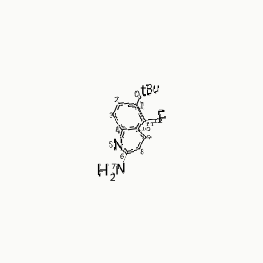 CC(C)(C)c1ccc2nc(N)ccc2c1F